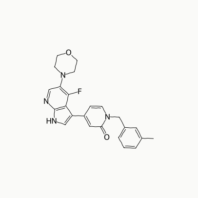 Cc1cccc(Cn2ccc(-c3c[nH]c4ncc(N5CCOCC5)c(F)c34)cc2=O)c1